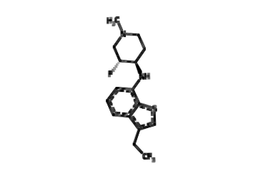 CN1CC[C@@H](Nc2cccc3c(CC(F)(F)F)csc23)[C@H](F)C1